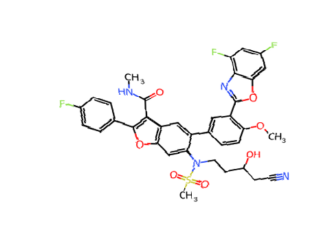 CNC(=O)c1c(-c2ccc(F)cc2)oc2cc(N(CCC(O)CC#N)S(C)(=O)=O)c(-c3ccc(OC)c(-c4nc5c(F)cc(F)cc5o4)c3)cc12